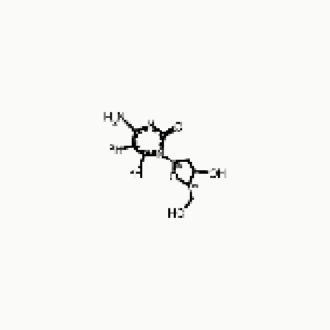 [2H]c1c(N)nc(=O)n([C@H]2CC(O)[C@@H](CO)O2)c1[2H]